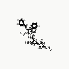 C[C@H](N[P@](=O)(OCC1S[C@@H](n2cnc(N)nc2=O)CC1O)Oc1ccccc1)C(=O)OCc1ccccc1